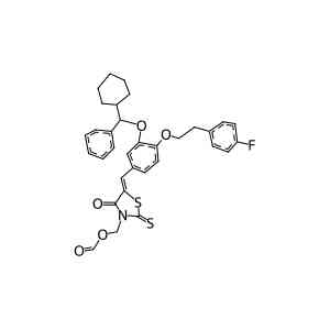 O=COCN1C(=O)/C(=C/c2ccc(OCCc3ccc(F)cc3)c(OC(c3ccccc3)C3CCCCC3)c2)SC1=S